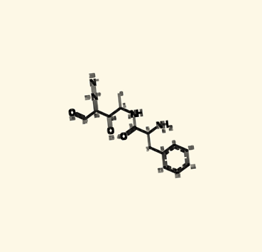 CC(NC(=O)C(N)Cc1ccccc1)C(=O)C(C=O)=[N+]=[N-]